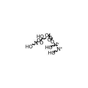 CC(=O)[O-].CC(=O)[O-].CCC(O)C(=O)[O-].C[N+](C)(C)CCO.C[N+](C)(C)CCO.C[N+](C)(C)CCO